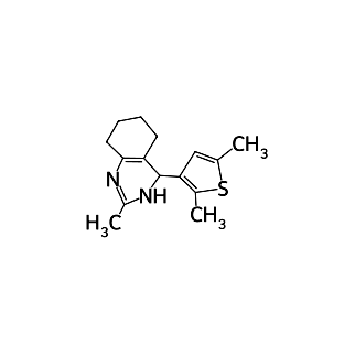 CC1=NC2=C(CCCC2)C(c2cc(C)sc2C)N1